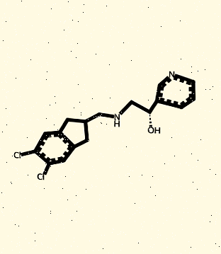 O[C@H](CNCC1Cc2cc(Cl)c(Cl)cc2C1)c1cccnc1